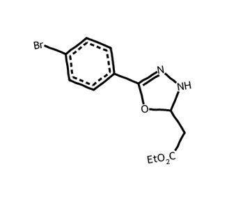 CCOC(=O)CC1NN=C(c2ccc(Br)cc2)O1